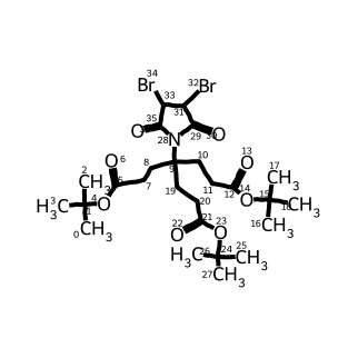 CC(C)(C)OC(=O)CCC(CCC(=O)OC(C)(C)C)(CCC(=O)OC(C)(C)C)N1C(=O)C(Br)C(Br)C1=O